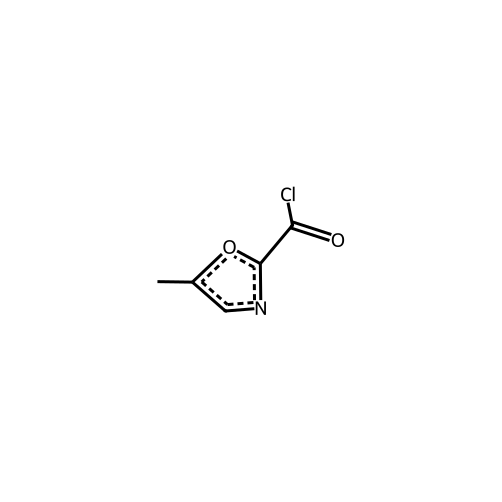 Cc1cnc(C(=O)Cl)o1